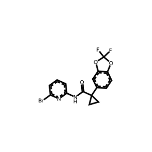 O=C(Nc1cccc(Br)n1)C1(c2ccc3c(c2)OC(F)(F)O3)CC1